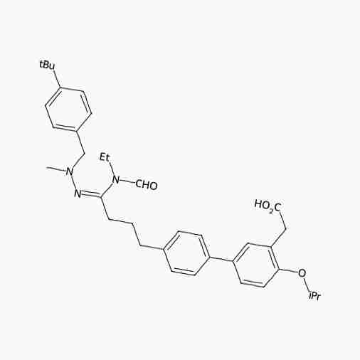 CCN(C=O)/C(CCCc1ccc(-c2ccc(OC(C)C)c(CC(=O)O)c2)cc1)=N\N(C)Cc1ccc(C(C)(C)C)cc1